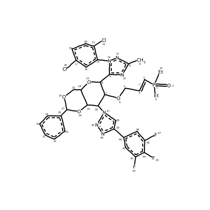 CCP(=O)(/C=C/COC1C(c2nc(C)nn2-c2cc(Cl)ccc2Cl)OC2COC(c3ccccc3)OC2C1n1cc(-c2cc(F)c(F)c(F)c2)nn1)CC